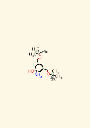 CC(C)(C)[Si](C)(C)OCC1=CC(N)(O)CC(CO[Si](C)(C)C(C)(C)C)=C1